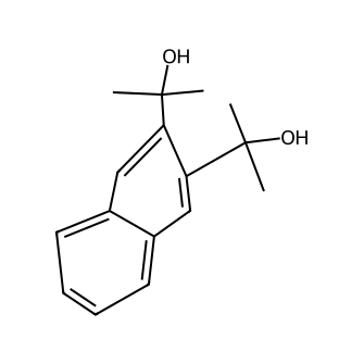 CC(C)(O)c1cc2ccccc2cc1C(C)(C)O